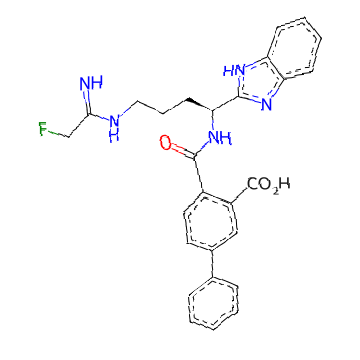 N=C(CF)NCCC[C@H](NC(=O)c1ccc(-c2ccccc2)cc1C(=O)O)c1nc2ccccc2[nH]1